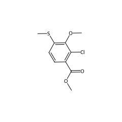 COC(=O)c1ccc(SC)c(OC)c1Cl